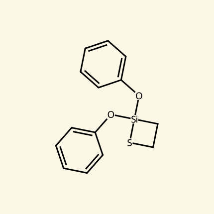 c1ccc(O[Si]2(Oc3ccccc3)CCS2)cc1